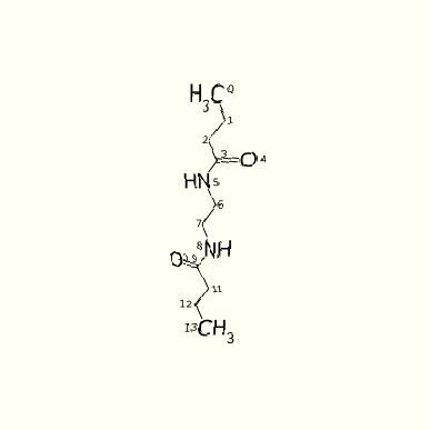 CCCC(=O)NCCNC(=O)CCC